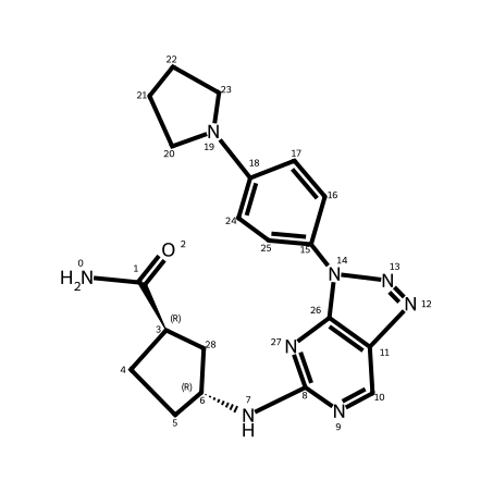 NC(=O)[C@@H]1CC[C@@H](Nc2ncc3nnn(-c4ccc(N5CCCC5)cc4)c3n2)C1